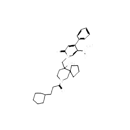 C[S+]([O-])c1cn(CC2(O)CCN(C(=O)CCC3CCCCC3)CC23CCCC3)c(=O)cc1-c1ccccc1